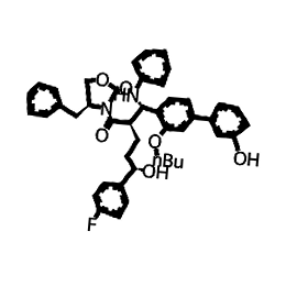 CCCCOc1cc(-c2cccc(O)c2)ccc1[C@@H](Nc1ccccc1)[C@@H](CC[C@H](O)c1ccc(F)cc1)C(=O)N1C(=O)OC[C@@H]1Cc1ccccc1